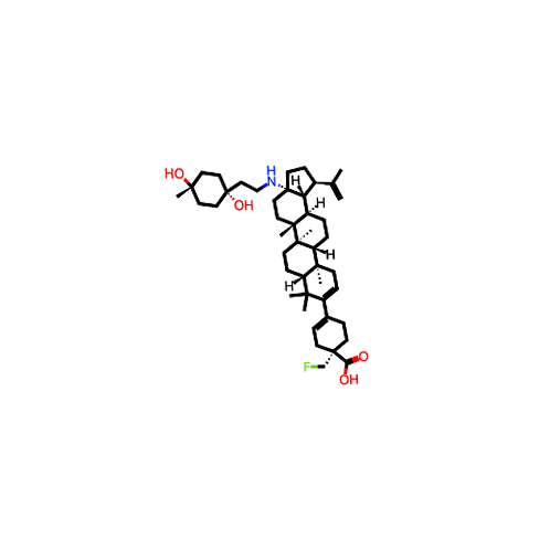 C=C(C)[C@@H]1CC[C@]2(NCC[C@]3(O)CC[C@@](C)(O)CC3)CC[C@]3(C)[C@H](CC[C@@H]4[C@@]5(C)CC=C(C6=CC[C@](CF)(C(=O)O)CC6)C(C)(C)[C@@H]5CC[C@]43C)[C@@H]12